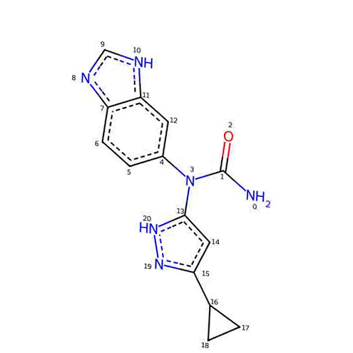 NC(=O)N(c1ccc2nc[nH]c2c1)c1cc(C2CC2)n[nH]1